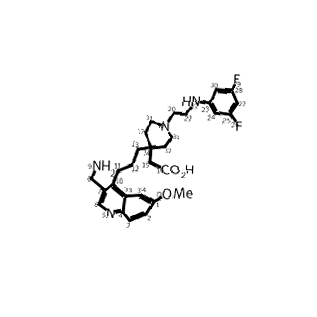 COc1ccc2ncc(CN)c(CCCC3(CC(=O)O)CCN(CCNc4cc(F)cc(F)c4)CC3)c2c1